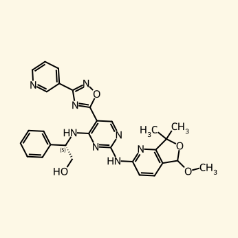 COC1OC(C)(C)c2nc(Nc3ncc(-c4nc(-c5cccnc5)no4)c(N[C@H](CO)c4ccccc4)n3)ccc21